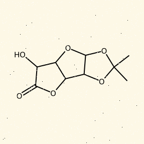 CC1(C)OC2OC3C(O)C(=O)OC3C2O1